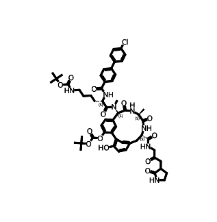 C[C@@H]1NC(=O)[C@@H](N(C)C(=O)[C@H](CCCCNC(=O)OC(C)(C)C)NC(=O)c2ccc(-c3ccc(Cl)cc3)cc2)c2ccc(OC(=O)OC(C)(C)C)c(c2)-c2cc(ccc2O)C[C@@H](C(=O)NCC(=O)CC2CCNC2=O)NC1=O